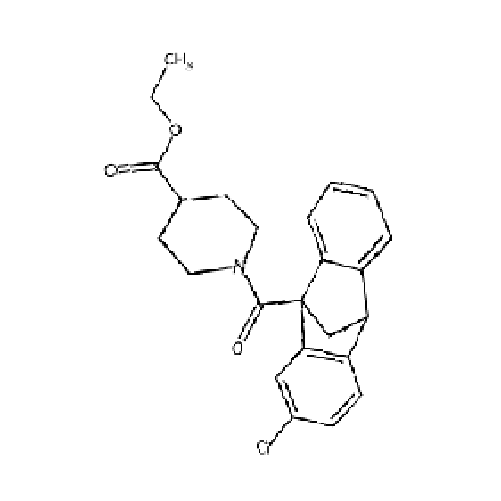 CCOC(=O)C1CCN(C(=O)C23CC(c4ccccc42)c2ccc(Cl)cc23)CC1